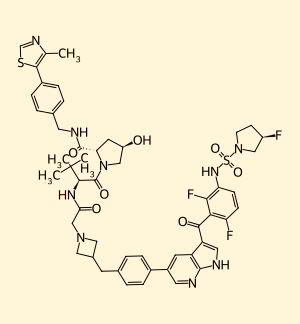 Cc1ncsc1-c1ccc(CNC(=O)[C@@H]2C[C@@H](O)CN2C(=O)[C@@H](NC(=O)CN2CC(Cc3ccc(-c4cnc5[nH]cc(C(=O)c6c(F)ccc(NS(=O)(=O)N7CC[C@@H](F)C7)c6F)c5c4)cc3)C2)C(C)(C)C)cc1